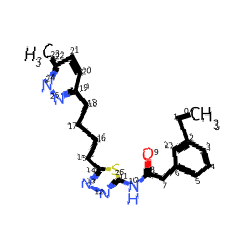 CCc1cccc(CC(=O)Nc2nnc(CCCCc3ccc(C)nn3)s2)c1